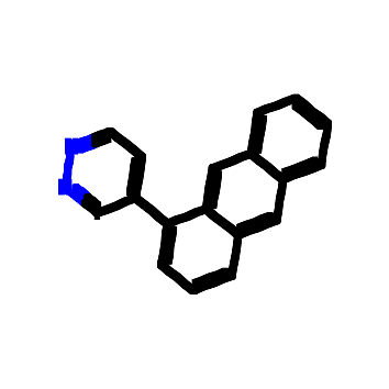 [c]1nnccc1-c1cccc2cc3ccccc3cc12